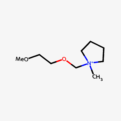 COCCOC[N+]1(C)CCCC1